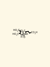 O=C(O)CCC(NS(=O)(=O)NC(CC(=O)O)C(=O)O)C(=O)O